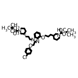 CC(C)(C)OC(=O)N1CCCC(CCCOc2cccc3c2nc(COc2ccc(Cl)cc2)n3CCC[C@H]2CCCN(C(=O)OC(C)(C)C)C2)C1